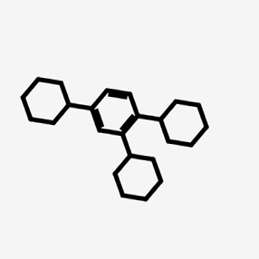 c1cc(C2CCCCC2)c(C2CCCCC2)cc1C1CCCCC1